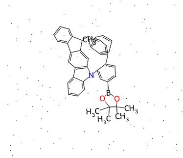 CC12c3ccccc3-c3cc4c5ccccc5n(c4cc31)-c1cc(B3OC(C)(C)C(C)(C)O3)ccc1-c1ccc2c2ccccc12